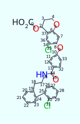 O=C(O)OC1CCOc2cc(Oc3ccc(C(=O)NCCc4ccccc4-c4ccccc4Cl)cc3)c(Cl)cc21